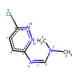 CN(C)/C=N\c1ccc(Cl)nn1